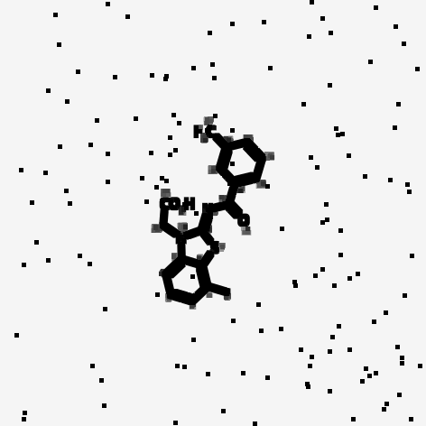 Cc1cccc2c1sc(=NC(=O)c1cccc(C(F)(F)F)c1)n2CC(=O)O